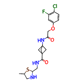 CC1CNC(CNC(=O)C23CC(NC(=O)COc4ccc(Cl)c(F)c4)(C2)C3)S1